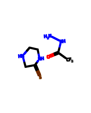 NNC(=O)C(F)(F)F.S=C1CNCCN1